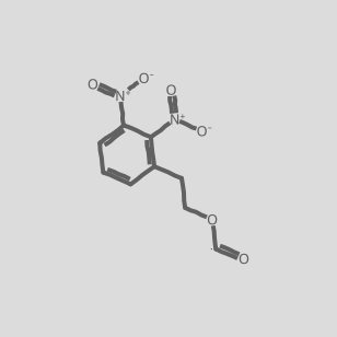 O=[C]OCCc1cccc([N+](=O)[O-])c1[N+](=O)[O-]